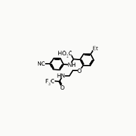 CCc1ccc(OCCNC(=O)C(F)(F)F)c(C(Nc2ccc(C#N)cc2)C(=O)O)c1